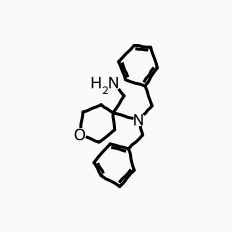 NCC1(N(Cc2ccccc2)Cc2ccccc2)CCOCC1